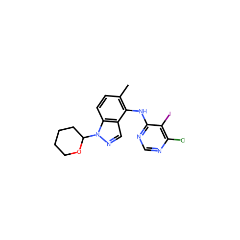 Cc1ccc2c(cnn2C2CCCCO2)c1Nc1ncnc(Cl)c1I